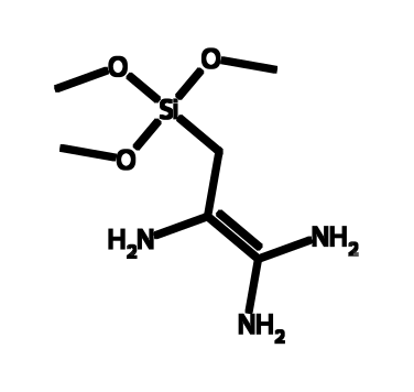 CO[Si](CC(N)=C(N)N)(OC)OC